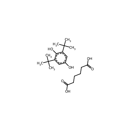 CC(C)(C)c1cc(O)cc(C(C)(C)C)c1O.O=C(O)CCCCC(=O)O